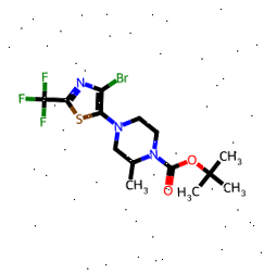 CC1CN(c2sc(C(F)(F)F)nc2Br)CCN1C(=O)OC(C)(C)C